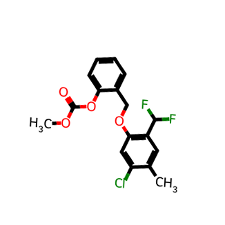 COC(=O)Oc1ccccc1COc1cc(Cl)c(C)cc1C(F)F